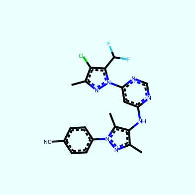 Cc1nn(-c2cc(Nc3c(C)nn(-c4ccc(C#N)cc4)c3C)ncn2)c(C(F)F)c1Cl